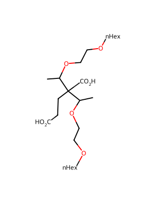 CCCCCCOCCOC(C)C(CCC(=O)O)(C(=O)O)C(C)OCCOCCCCCC